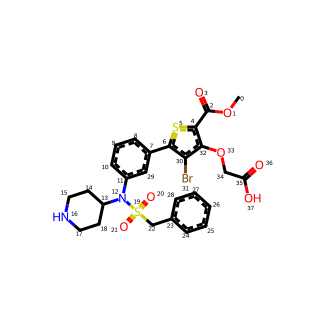 COC(=O)c1sc(-c2cccc(N(C3CCNCC3)S(=O)(=O)Cc3ccccc3)c2)c(Br)c1OCC(=O)O